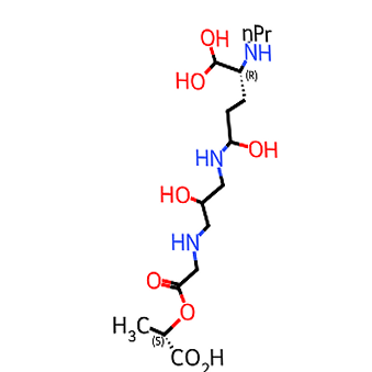 CCCN[C@H](CCC(O)NCC(O)CNCC(=O)O[C@@H](C)C(=O)O)C(O)O